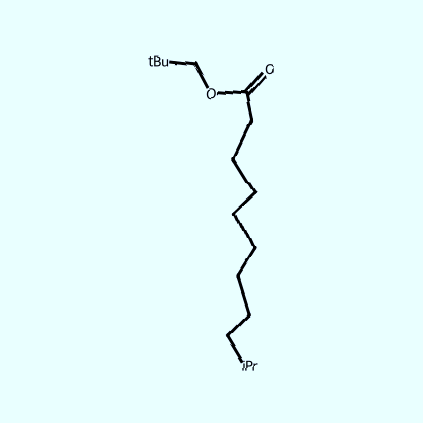 CC(C)CCCCCCCCC(=O)OCC(C)(C)C